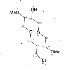 CCOCCOCCOC.[CH2]OCCOCCO